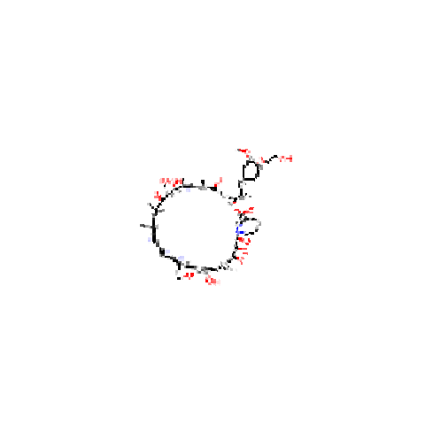 CO[C@H]1C[C@@H](O)CC[C@@H](C)C(=O)C(=O)C(=O)N2CCCC[C@H]2C(=O)O[C@H]([C@H](C)C[C@@H]2CC[C@@H](OCCO)[C@H](OC)C2)CC(=O)[C@H](C)/C=C(\C)[C@@H](O)[C@@H](CO)C(=O)[C@H](C)C[C@H](C)/C=C/C=C/C=C/1C